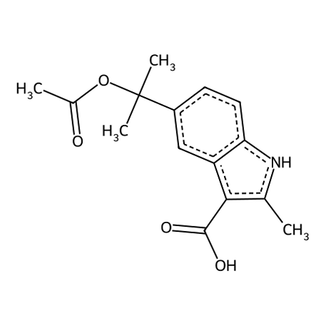 CC(=O)OC(C)(C)c1ccc2[nH]c(C)c(C(=O)O)c2c1